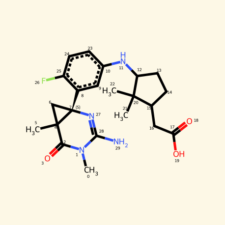 CN1C(=O)C2(C)C[C@]2(c2cc(NC3CCC(CC(=O)O)C3(C)C)ccc2F)N=C1N